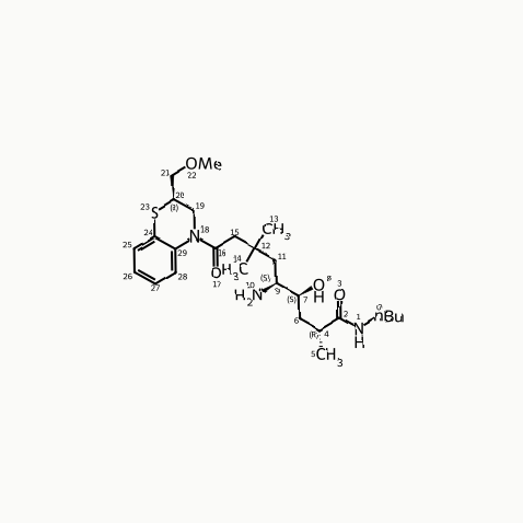 CCCCNC(=O)[C@H](C)C[C@H](O)[C@@H](N)CC(C)(C)CC(=O)N1C[C@H](COC)Sc2ccccc21